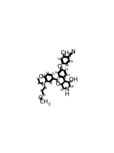 COCCCN1CCOc2ccc(COC3CNCC(O)C3c3ccc(Oc4ccc(C#N)c(C)c4)cc3)cc21